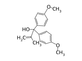 C=C(C)C(O)(c1ccc(OC)cc1)c1ccc(OC)cc1